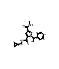 CNC(=O)c1cc(C(=O)NCC2CC2)n(C(C)c2ccccc2)n1